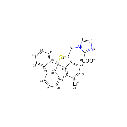 O=C([O-])c1nccn1CCSC(c1ccccc1)(c1ccccc1)c1ccccc1.[Li+]